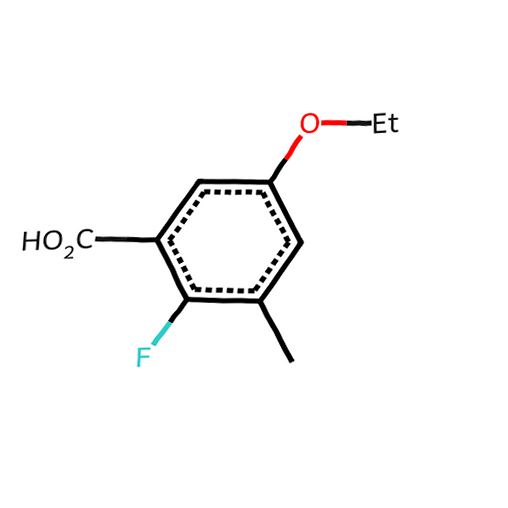 CCOc1cc(C)c(F)c(C(=O)O)c1